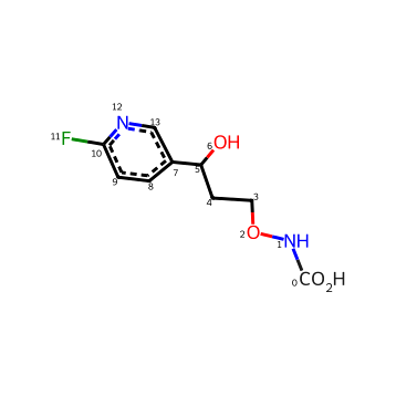 O=C(O)NOCCC(O)c1ccc(F)nc1